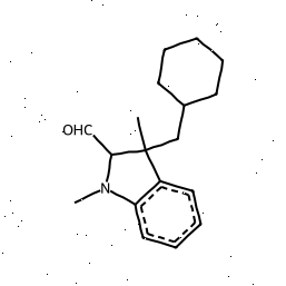 CN1c2ccccc2C(C)(CC2CCCCC2)C1C=O